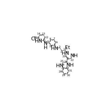 CCC(CCNc1cccc(NC2=CC=CC(Cl)N2)c1)N/C=C(\C=N)C1CNc2ccccc2N1